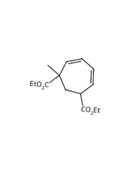 CCOC(=O)C1C=CC=CC(C)(C(=O)OCC)C1